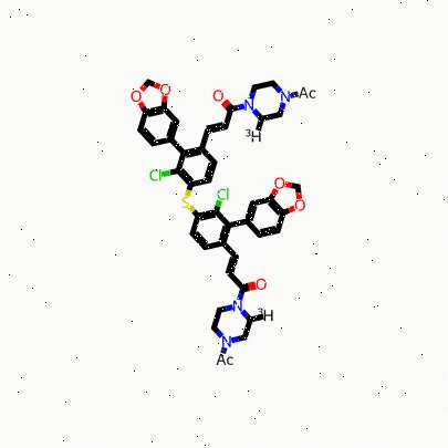 [3H]C1CN(C(C)=O)CCN1C(=O)/C=C/c1ccc(Sc2ccc(/C=C/C(=O)N3CCN(C(C)=O)CC3[3H])c(-c3ccc4c(c3)OCO4)c2Cl)c(Cl)c1-c1ccc2c(c1)OCO2